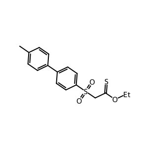 CCOC(=S)CS(=O)(=O)c1ccc(-c2ccc(C)cc2)cc1